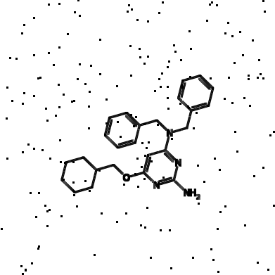 Nc1nc(OCC2CCCCC2)cc(N(Cc2ccccc2)Cc2ccccc2)n1